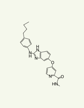 CCCCc1ccc(Nc2nc3cc(Oc4ccnc(C(=O)NC)c4)ccc3[nH]2)cc1